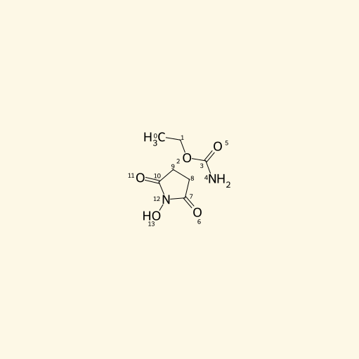 CCOC(N)=O.O=C1CCC(=O)N1O